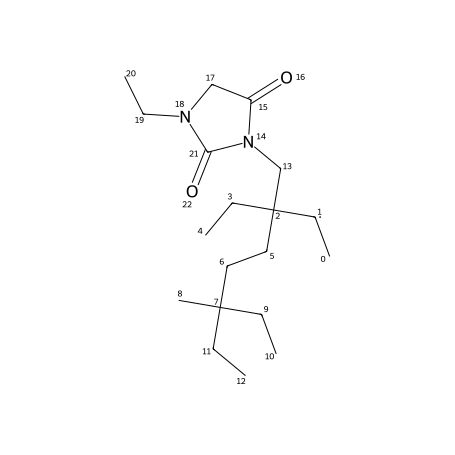 C[CH]C(CC)(CCC(C)(CC)CC)CN1C(=O)CN(CC)C1=O